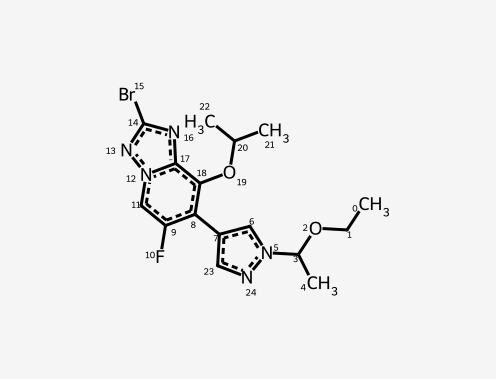 CCOC(C)n1cc(-c2c(F)cn3nc(Br)nc3c2OC(C)C)cn1